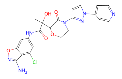 CC(O)(C(=O)Nc1cc(Cl)c2c(N)noc2c1)C1OCCN(c2ccn(-c3ccncc3)n2)C1=O